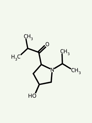 CC(C)C(=O)C1CC(O)CN1C(C)C